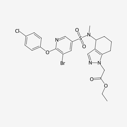 CCOC(=O)Cn1ncc2c1CCCC2N(C)S(=O)(=O)c1cnc(Oc2ccc(Cl)cc2)c(Br)c1